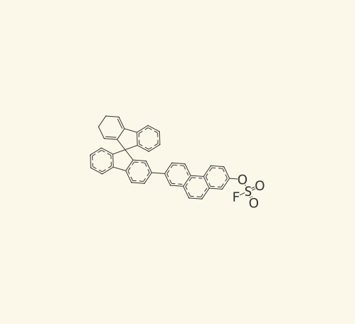 O=S(=O)(F)Oc1ccc2c(ccc3cc(-c4ccc5c(c4)C4(C6=CCCC=C6c6ccccc64)c4ccccc4-5)ccc32)c1